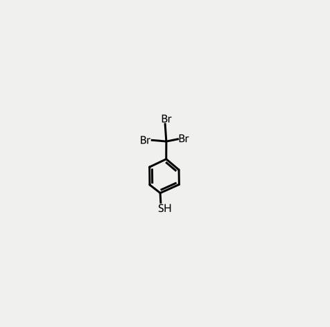 Sc1ccc(C(Br)(Br)Br)cc1